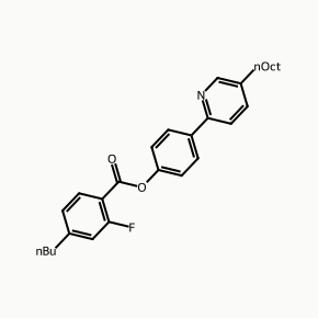 CCCCCCCCc1ccc(-c2ccc(OC(=O)c3ccc(CCCC)cc3F)cc2)nc1